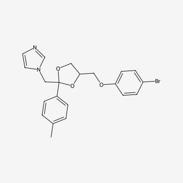 Cc1ccc(C2(Cn3ccnc3)OCC(COc3ccc(Br)cc3)O2)cc1